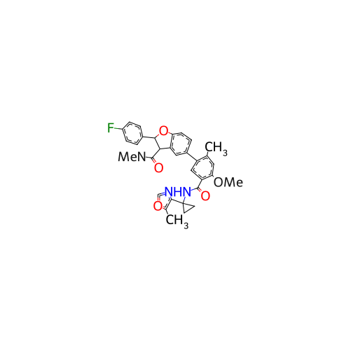 CNC(=O)C1c2cc(-c3cc(C(=O)NC4(c5ncoc5C)CC4)c(OC)cc3C)ccc2OC1c1ccc(F)cc1